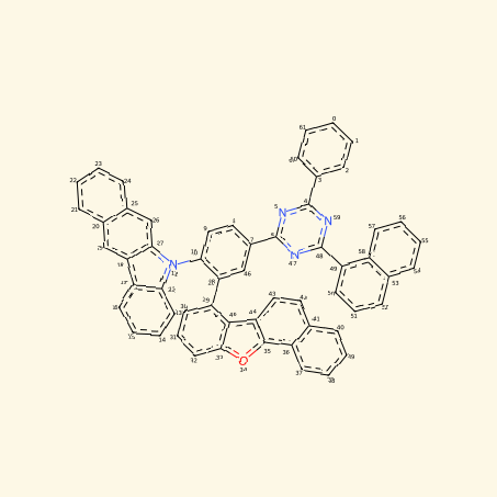 c1ccc(-c2nc(-c3ccc(-n4c5ccccc5c5cc6ccccc6cc54)c(-c4cccc5oc6c7ccccc7ccc6c45)c3)nc(-c3cccc4ccccc34)n2)cc1